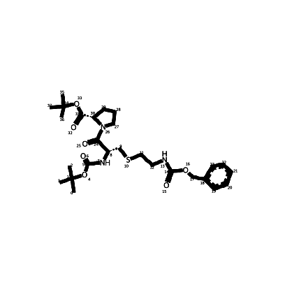 CC(C)(C)OC(=O)N[C@@H](CSCCNC(=O)OCc1ccccc1)C(=O)N1CCC[C@H]1C(=O)OC(C)(C)C